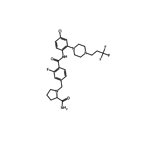 NC(=O)C1CCCN1Cc1ccc(C(=O)Nc2ccc(Cl)cc2N2CCN(CCC(F)(F)F)CC2)c(F)c1